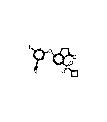 N#Cc1cc(F)cc(Oc2ccc(S(=O)(=O)C3CCC3)c3c2CCC3=O)c1